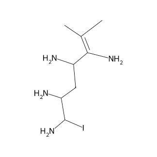 CC(C)=C(N)C(N)CC(N)C(N)I